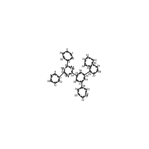 c1ccc(-c2nc(-c3ccccc3)nc(-c3cc(-c4cccnc4)cc(-c4cccc5ccccc45)c3)n2)cc1